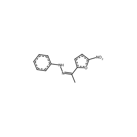 CC(=NNc1ccccc1)c1ccc([N+](=O)[O-])o1